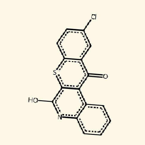 O=c1c2cc(Cl)ccc2sc2c(O)nc3ccccc3c12